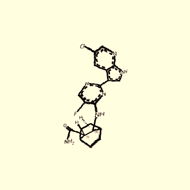 NC(=O)[C@H]1C2CCC(CC2)[C@@H]1Nc1nc(-c2c[nH]c3ncc(Cl)cc23)ncc1F